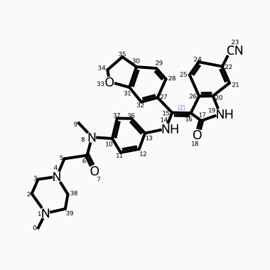 CN1CCN(CC(=O)N(C)c2ccc(N/C(=C3\C(=O)Nc4cc(C#N)ccc43)c3ccc4c(c3)OCC4)cc2)CC1